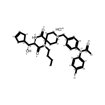 CCCCN1C(=O)[C@@H]([C@H](O)C2CC=CC2)NC(=O)C12CCN(Cc1ccc(N(C(C)=O)c3ccc(F)cc3)cc1)CC2.Cl